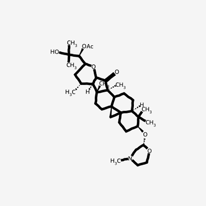 CC(=O)O[C@@H](C1C[C@@H](C)[C@H]2C(O1)C(=O)[C@@]1(C)C3CC[C@H]4C(C)(C)[C@@H](O[C@H]5CN(C)CCO5)CCC45C[C@@]35CC[C@]21C)C(C)(C)O